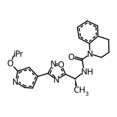 CC(C)Oc1cc(-c2noc([C@H](C)NC(=O)N3CCCc4ccccc43)n2)ccn1